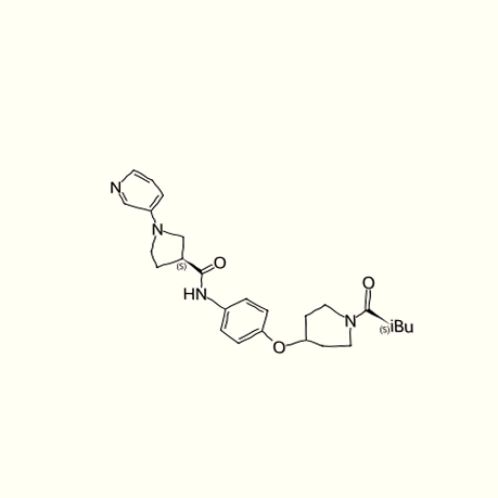 CC[C@H](C)C(=O)N1CCC(Oc2ccc(NC(=O)[C@H]3CCN(c4cccnc4)C3)cc2)CC1